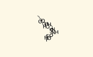 CCCCC(=O)O[C@H]1CC[C@H]2[C@@H]3CC=C4c5sc(Nc6ccc(OC(F)(F)F)cc6)nc5CC[C@]4(C)[C@H]3CC[C@]12C